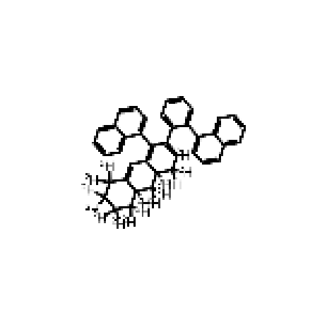 [2H]C1=C(c2ccccc2-c2cccc3ccccc23)C(c2cccc3ccccc23)=C2C=C3C([2H])([2H])C([2H])([2H])C([2H])([2H])C([2H])([2H])C3([2H])C([2H])([2H])C2([2H])C1([2H])[2H]